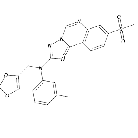 Cc1cccc(N(CC2=COCO2)c2nc3c4ccc(S(C)(=O)=O)cc4ncn3n2)c1